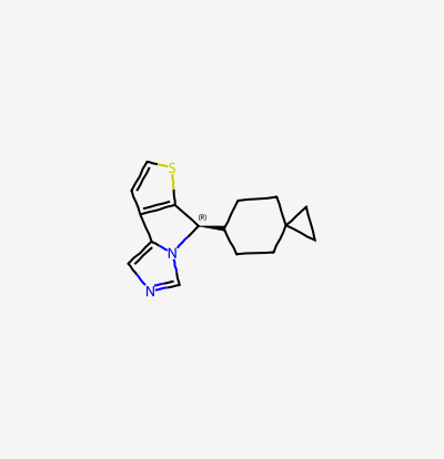 c1cc2c(s1)[C@@H](C1CCC3(CC1)CC3)n1cncc1-2